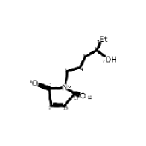 CCC(O)CCCN1C(=O)C=CC1=O